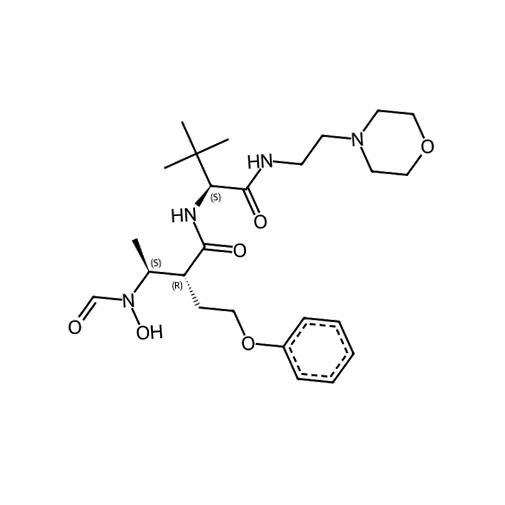 C[C@@H]([C@@H](CCOc1ccccc1)C(=O)N[C@H](C(=O)NCCN1CCOCC1)C(C)(C)C)N(O)C=O